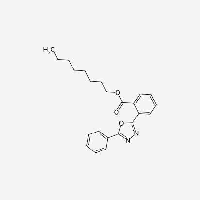 CCCCCCCCOC(=O)c1ccccc1-c1nnc(-c2ccccc2)o1